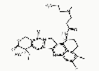 CC[C@@]1(O)C(=O)OCc2c1cc1n(c2=O)Cc2c-1nc1cc(F)c(C)c3c1c2[C@@H](NC(=O)CCN(C)CCN)CC3